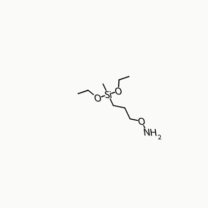 CCO[Si](C)(CCCON)OCC